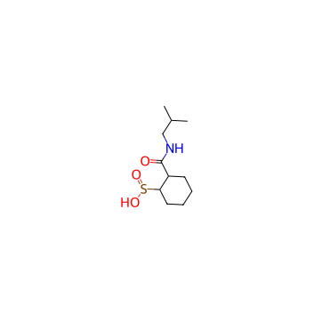 CC(C)CNC(=O)C1CCCCC1S(=O)O